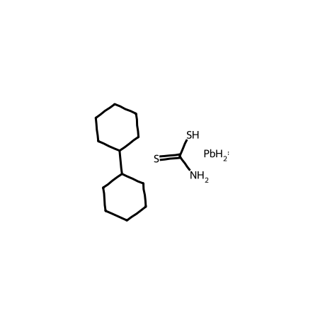 C1CCC(C2CCCCC2)CC1.NC(=S)S.[PbH2]